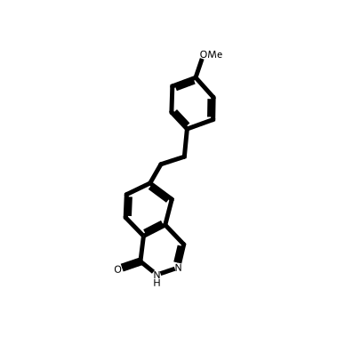 COc1ccc(CCc2ccc3c(=O)[nH]ncc3c2)cc1